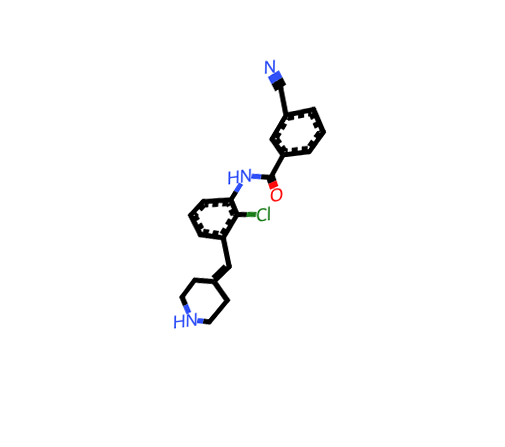 N#Cc1cccc(C(=O)Nc2cccc(C=C3CCNCC3)c2Cl)c1